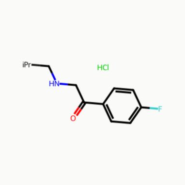 CC(C)CNCC(=O)c1ccc(F)cc1.Cl